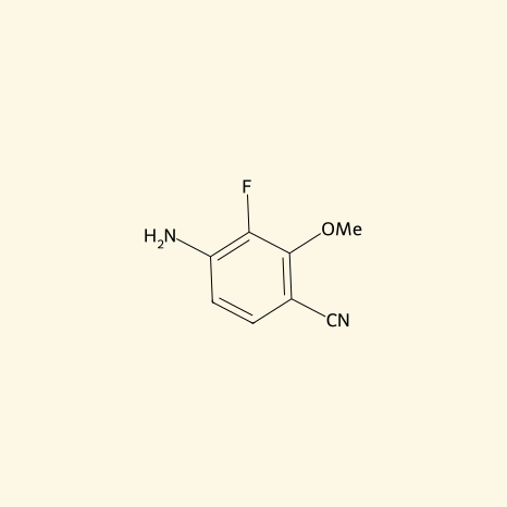 COc1c(C#N)ccc(N)c1F